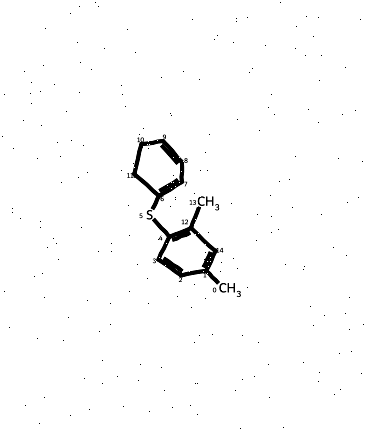 Cc1ccc(SC2=CC=CC[CH]2)c(C)c1